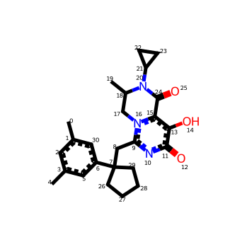 Cc1cc(C)cc(C2(Cc3nc(=O)c(O)c4n3CC(C)N(C3CC3)C4=O)CCCC2)c1